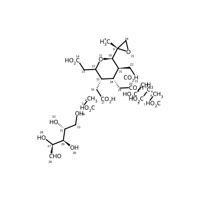 CC(=O)O.CC(=O)O.CC(=O)O.CC(=O)O.C[C@@]1([C@@H]2OC(CC(=O)O)[C@@H](CC(=O)O)[C@@H](CC(=O)O)[C@@H]2CC(=O)O)CO1.O=C[C@@H](O)[C@H](O)[C@H](O)CO